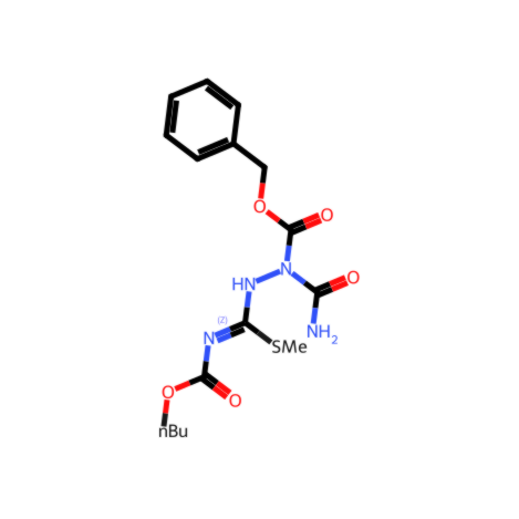 CCCCOC(=O)/N=C(/NN(C(N)=O)C(=O)OCc1ccccc1)SC